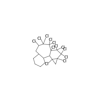 ClC1CC2CCCCC2C2C3(Cl)CC3(Cl)C(Cl)(Cl)C(Cl)(Cl)C2(Cl)C(Cl)(Cl)C1(Cl)Cl